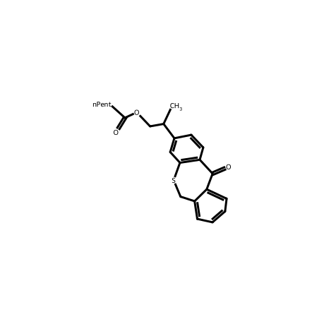 CCCCCC(=O)OCC(C)c1ccc2c(c1)SCc1ccccc1C2=O